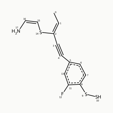 C/C=C(/C#Cc1ccc(SS)c(F)c1)S/C=C\N